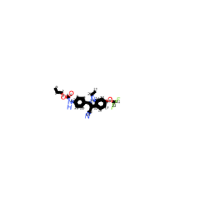 CCCOC(=O)Nc1ccc(-c2c(C#N)c3ccc(OC(F)F)cc3n2CC)cc1